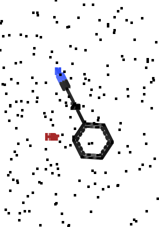 Br.N#[C][Zn][c]1ccccc1